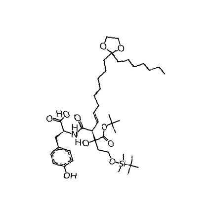 CCCCCCCC1(CCCCCC/C=C/[C@H](C(=O)N[C@@H](Cc2ccc(O)cc2)C(=O)O)C(O)(CCO[Si](C)(C)C(C)(C)C)C(=O)OC(C)(C)C)OCCO1